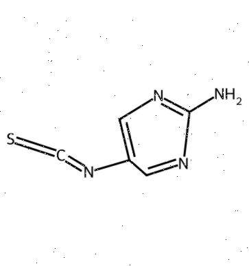 Nc1ncc(N=C=S)cn1